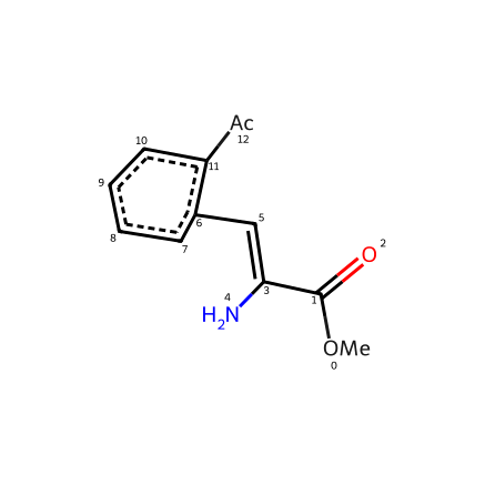 COC(=O)C(N)=Cc1ccccc1C(C)=O